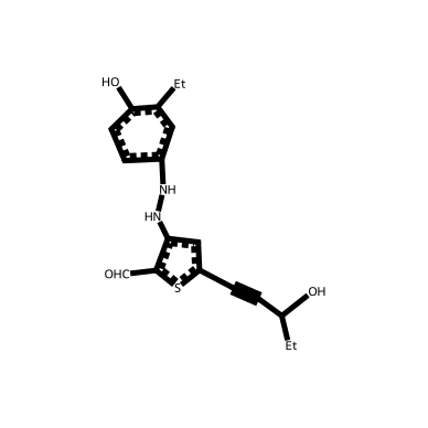 CCc1cc(NNc2cc(C#CC(O)CC)sc2C=O)ccc1O